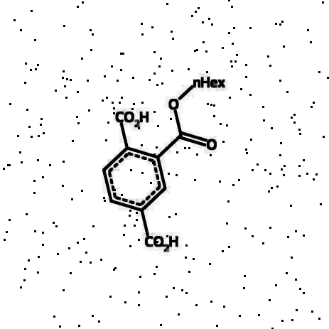 CCCCCCOC(=O)c1cc(C(=O)O)ccc1C(=O)O